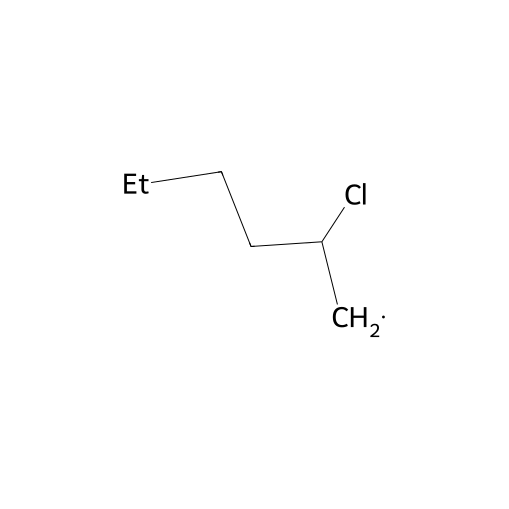 [CH2]C(Cl)CCCC